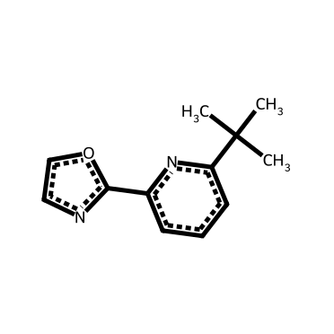 CC(C)(C)c1cccc(-c2ncco2)n1